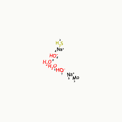 O.O.S.[Mo].[Na+].[Na+].[OH-].[OH-]